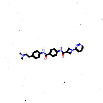 CN(C)CCc1ccc(NC(=O)c2ccc(NC(=O)C3CN(c4cccnn4)C3)cc2)cc1